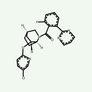 O=C(c1c(F)cccc1-c1ncccn1)N1C[C@@H]2CC[C@H]1[C@H](Oc1ccc(Cl)cn1)C2